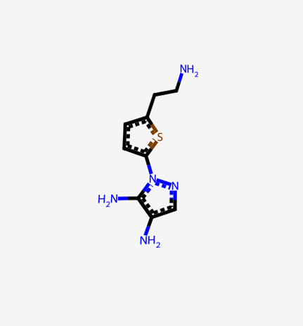 NCCc1ccc(-n2ncc(N)c2N)s1